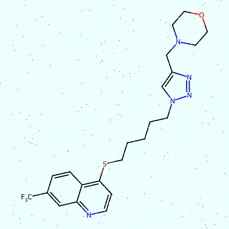 FC(F)(F)c1ccc2c(SCCCCCn3cc(CN4CCOCC4)nn3)ccnc2c1